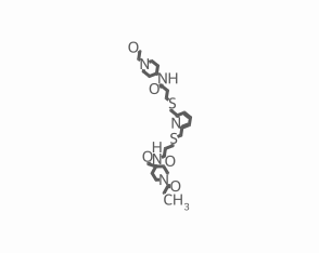 CCC(=O)N1CCC(C=O)(NC(=O)CCSCc2cccc(CSCCC(=O)NC3CCN(CC=O)CC3)n2)CC1